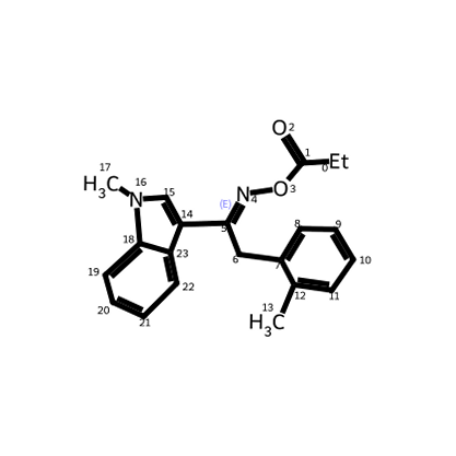 CCC(=O)O/N=C(\Cc1ccccc1C)c1cn(C)c2ccccc12